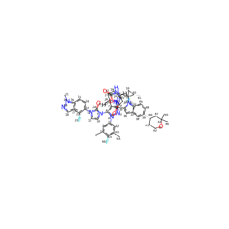 Cc1cc(-n2nc3c(c2-n2ccn(-c4ccc5c(cnn5C)c4F)c2=O)[C@@H]2CC[C@H]([C@@H]3F)N2C(=O)c2cc3cc([C@H]4CCOC(C)(C)C4)ccc3n2[C@@]2(c3noc(=O)[nH]3)C[C@@H]2C)cc(C)c1F